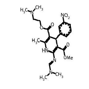 COC(=O)C1=C(N=CN(C)C)NC(C)=C(C(=O)OCCN(C)C)C1c1cccc([N+](=O)[O-])c1